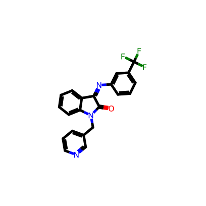 O=C1C(=Nc2cccc(C(F)(F)F)c2)c2ccccc2N1Cc1cccnc1